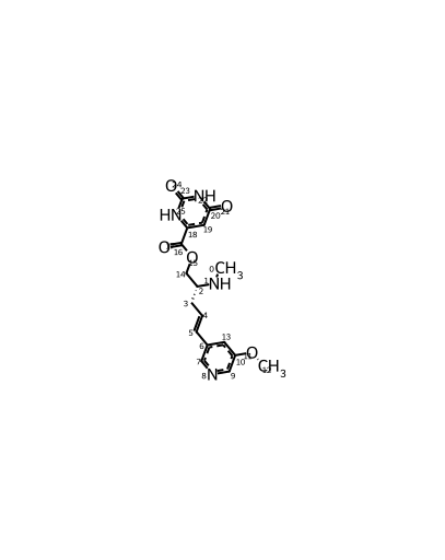 CN[C@H](C/C=C/c1cncc(OC)c1)COC(=O)c1cc(=O)[nH]c(=O)[nH]1